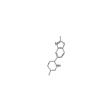 Cc1nc2cc(C3CCC(C)CN3)ccc2s1